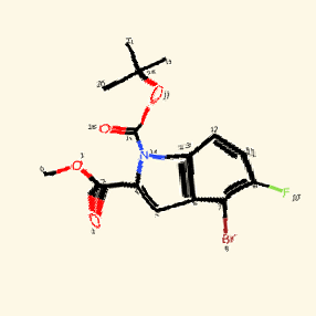 COC(=O)c1cc2c(Br)c(F)ccc2n1C(=O)OC(C)(C)C